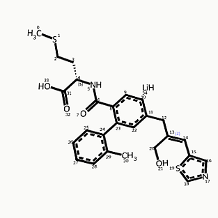 CSCC[C@H](NC(=O)c1ccc(C/C(=C/c2cncs2)CO)cc1-c1ccccc1C)C(=O)O.[LiH]